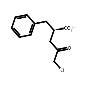 O=C(CCl)C[C@@H](Cc1ccccc1)C(=O)O